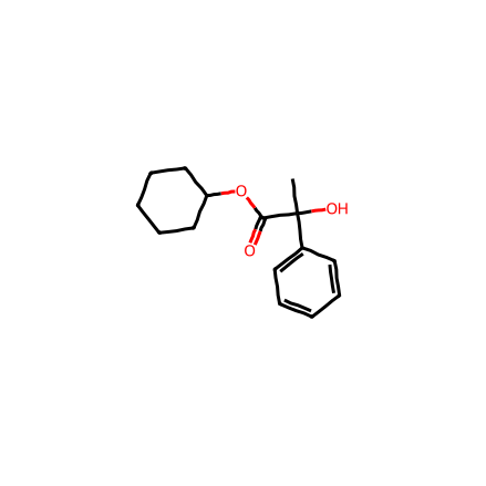 CC(O)(C(=O)OC1CCCCC1)c1ccccc1